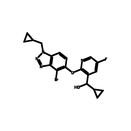 OC(c1cc(F)cnc1Oc1ccc2c(nnn2CC2CC2)c1Br)C1CC1